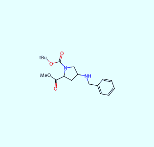 COC(=O)C1CC(NCc2ccccc2)CN1C(=O)OC(C)(C)C